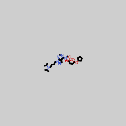 CC(C)N(CCCCn1ncc2c(N(C=O)OC(=O)/C=C\C(=O)OC3CCCC3)ncnc21)C(C)C